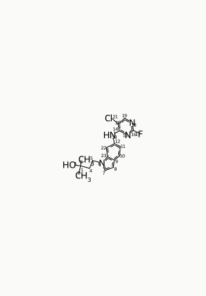 CC(C)(O)CCn1ccc2ccc(Nc3nc(F)ncc3Cl)cc21